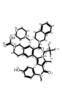 Cc1c(C(=O)N(C)c2ccc(O)cc2)cc(-c2cc3c(cc2C(=O)N2Cc4ccccc4C[C@H]2CN2CCOCC2)CN(C(=O)O)CC3)n1CC(F)(F)F